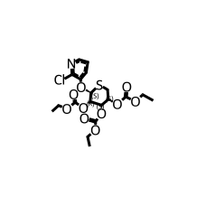 CCOC(=O)O[C@@H]1[C@@H](OC(=O)OCC)[C@@H](Oc2cccnc2Cl)SC[C@H]1OC(=O)OCC